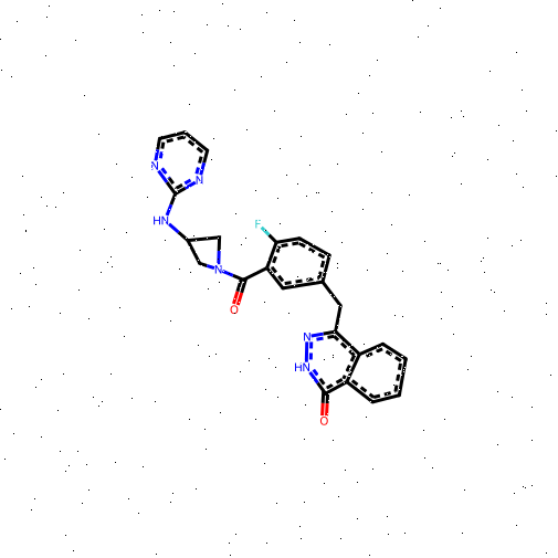 O=C(c1cc(Cc2n[nH]c(=O)c3ccccc23)ccc1F)N1CC(Nc2ncccn2)C1